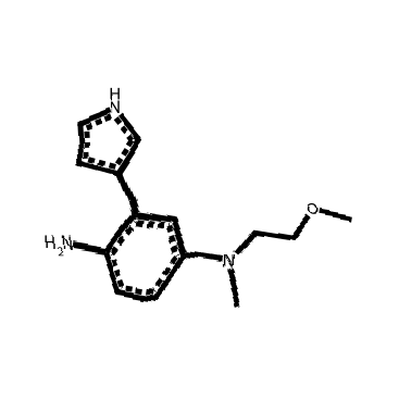 COCCN(C)c1ccc(N)c(-c2cc[nH]c2)c1